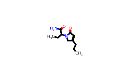 CCCC1=CC(=O)N(C(CC)C(N)=O)C1